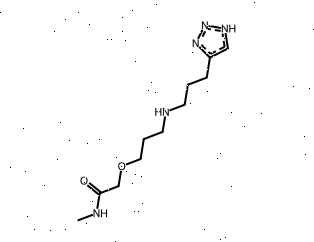 CNC(=O)COCCCNCCCc1c[nH]nn1